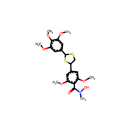 COc1cc(C2SCC(c3cc(OC)c(C(=O)N(C)O)c(OC)c3)S2)cc(OC)c1OC